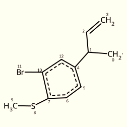 [CH2]C(C=C)c1ccc(SC)c(Br)c1